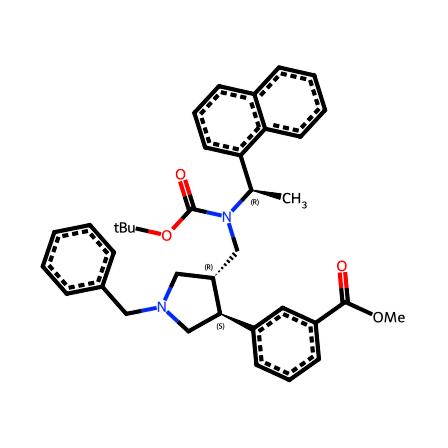 COC(=O)c1cccc([C@H]2CN(Cc3ccccc3)C[C@@H]2CN(C(=O)OC(C)(C)C)[C@H](C)c2cccc3ccccc23)c1